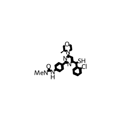 CNC(=O)Nc1ccc(-c2nc(C(S)c3ccccc3Cl)cc(N3CCOC[C@@H]3C)n2)cc1